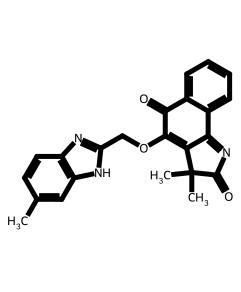 Cc1ccc2nc(COC3=C4C(=NC(=O)C4(C)C)c4ccccc4C3=O)[nH]c2c1